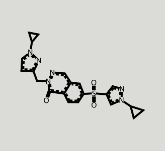 O=c1c2ccc(S(=O)(=O)c3cnn(C4CC4)c3)cc2cnn1Cc1ccn(C2CC2)n1